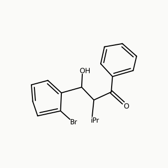 CC(C)C(C(=O)c1ccccc1)C(O)c1ccccc1Br